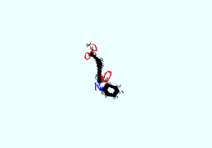 COC(=O)/C=C/c1nc2ccccc2o1